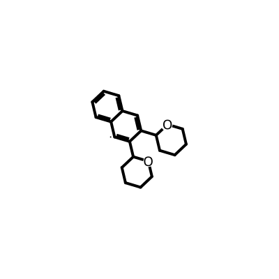 [c]1c(C2CCCCO2)c(C2CCCCO2)cc2ccccc12